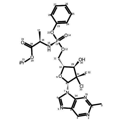 Cc1ncc2ncn([C@@H]3O[C@H](CO[P@](=O)(N[C@H](C)C(=O)OC(C)C)Oc4ccccc4)[C@@H](O)[C@]3(F)Cl)c2n1